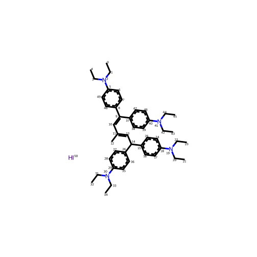 CCN(CC)c1ccc(C(=CC(C)=CC(c2ccc(N(CC)CC)cc2)c2ccc(N(CC)CC)cc2)c2ccc(N(CC)CC)cc2)cc1.I